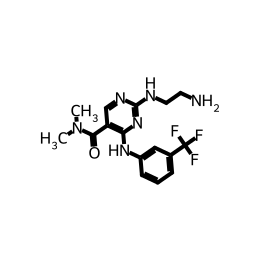 CN(C)C(=O)c1cnc(NCCN)nc1Nc1cccc(C(F)(F)F)c1